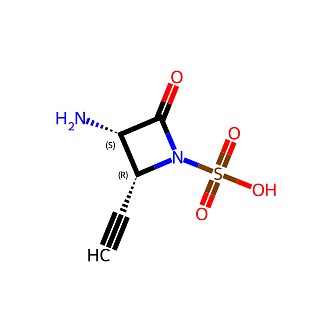 C#C[C@@H]1[C@H](N)C(=O)N1S(=O)(=O)O